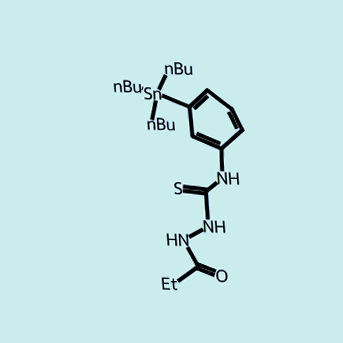 CCC[CH2][Sn]([CH2]CCC)([CH2]CCC)[c]1cccc(NC(=S)NNC(=O)CC)c1